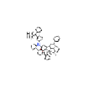 CC1(C)c2ccccc2-c2ccc(N(c3ccc4c(c3)-c3cc(-c5ccccc5)c5ccccc5c3C4(C)C)c3ccccc3-c3ccc(-c4ccccc4)cc3)cc21